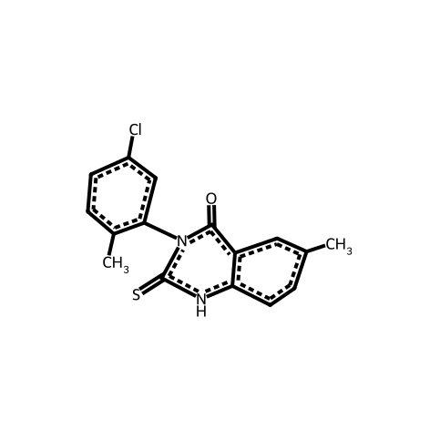 Cc1ccc2[nH]c(=S)n(-c3cc(Cl)ccc3C)c(=O)c2c1